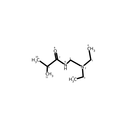 CCN(CC)CNC(=O)C(C)C